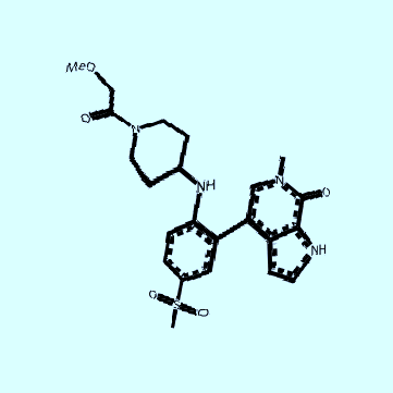 COCC(=O)N1CCC(Nc2ccc(S(C)(=O)=O)cc2-c2cn(C)c(=O)c3[nH]ccc23)CC1